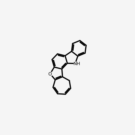 C1=CCc2c(oc3ccc4c5ccccc5[nH]c4c23)C=C1